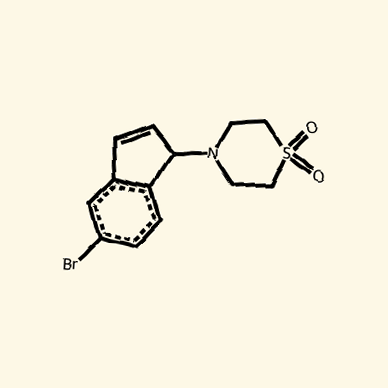 O=S1(=O)CCN(C2C=Cc3cc(Br)ccc32)CC1